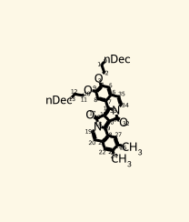 CCCCCCCCCCCCOc1cc2c(cc1OCCCCCCCCCCCC)C1=C3C(=O)N4C=Cc5cc(C)c(C)cc5C4=C3C(=O)N1C=C2